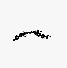 C#Cc1ccc(-c2ccc(OC(=O)CCCCCCCC(=O)Oc3ccc(-c4ccc(CCC)cc4)c(F)c3F)cc2)cc1